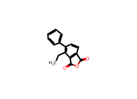 CCc1c(-c2ccccc2)ccc2c1C(=O)OC2=O